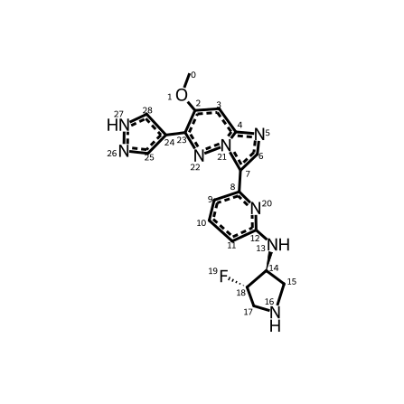 COc1cc2ncc(-c3cccc(N[C@H]4CNC[C@@H]4F)n3)n2nc1-c1cn[nH]c1